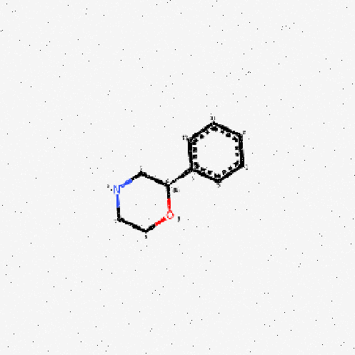 c1ccc([C@@H]2C[N]CCO2)cc1